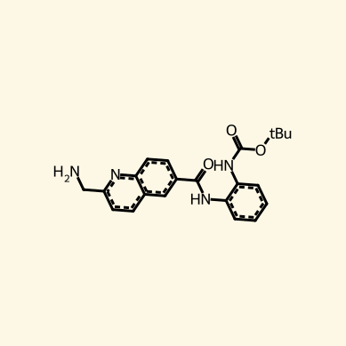 CC(C)(C)OC(=O)Nc1ccccc1NC(=O)c1ccc2nc(CN)ccc2c1